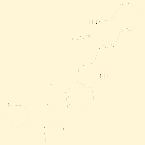 CN(C1CCNC1)S(=O)(=O)c1ccc2c(c1F)CC(c1cc3ccccc3[nH]c1=O)N2